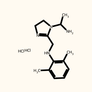 Cc1cccc(C)c1NCC1=NCCN1C(C)N.Cl.Cl